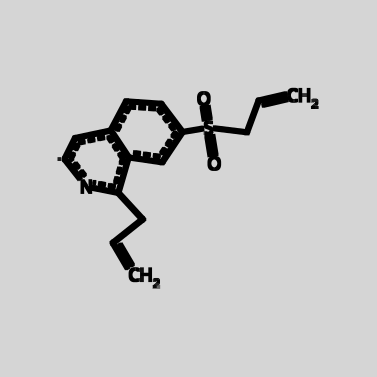 C=CCc1n[c]cc2ccc(S(=O)(=O)CC=C)cc12